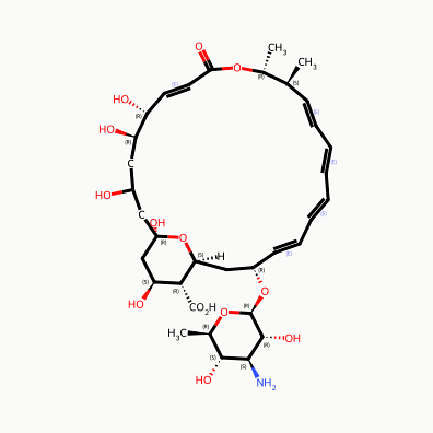 C[C@H]1/C=C/C=C/C=C/C=C/[C@H](O[C@@H]2O[C@H](C)[C@@H](O)[C@H](N)[C@H]2O)C[C@@H]2O[C@](O)(CC(O)C[C@@H](O)[C@H](O)/C=C/C(=O)O[C@@H]1C)C[C@H](O)[C@H]2C(=O)O